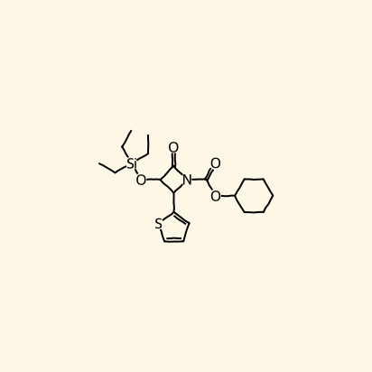 CC[Si](CC)(CC)OC1C(=O)N(C(=O)OC2CCCCC2)C1c1cccs1